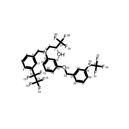 O[C@H](CN(Cc1cccc(C(F)(F)C(F)(F)F)c1)c1cccc(OCc2cccc(SC(F)(F)F)c2)c1)C(F)(F)F